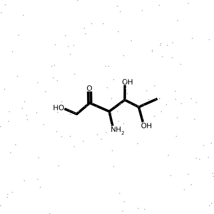 [CH2]C(O)C(O)C(N)C(=O)CO